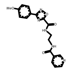 COc1ccc(-c2noc(C(=O)NCCNC(=O)c3cccnc3)n2)cc1